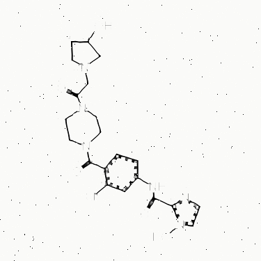 Cn1ccnc1C(=O)Nc1ccc(C(=O)N2CCN(C(=O)CN3CCC(O)C3)CC2)c(Cl)c1